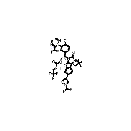 C=NN(/C(=N\C)C(F)F)c1cc([C@@H](COC(=O)NCC(F)(F)F)N2C(=N)N[C@](CC(C)(C)C)(c3ccc(-c4cnn(C(F)F)c4)cc3)C2=O)ccc1Cl